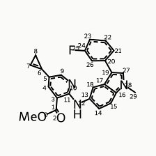 COC(=O)c1cc(C2=CC2)cnc1Nc1ccc2c(c1)c(-c1cccc(F)c1)cn2C